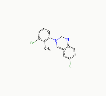 Cc1c(Br)cccc1N1C=c2cc(Cl)ccc2=NC1